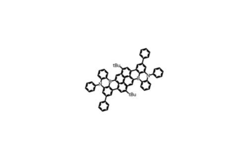 CC(C)(C)c1cc2c3c(cc4c(C(C)(C)C)cc5c6c(cc1c3c46)B1c3ccccc3N(c3ccccc3)c3cc(-c4ccccc4)cc-5c31)B1c3ccccc3N(c3ccccc3)c3cc(-c4ccccc4)cc-2c31